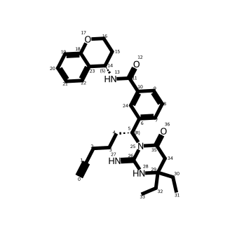 C#CCCC[C@H](c1cccc(C(=O)N[C@H]2CCOc3ccccc32)c1)N1C(=N)NC(CC)(CC)CC1=O